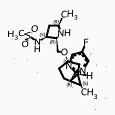 C[C@@H]1C[C@H](NS(C)(=O)=O)[C@H](CO[C@H]2CC[C@]3(c4ncc(F)cn4)[C@H](C2)[C@@H]3C)N1